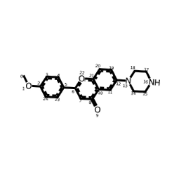 COc1ccc(-c2cc(=O)c3cc(N4CCNCC4)ccc3o2)cc1